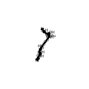 Cc1ncsc1-c1ccc(CNC(=O)[C@@H]2C[C@@H](O)CN2C(=O)[C@@H](NC(=O)CCOCCOCCOCCNC(=O)CC2CCN(Cc3nc4cc(NC(=O)c5ccc6c(cnn6C)c5)ccc4[nH]3)C2)C(C)(C)C)cc1